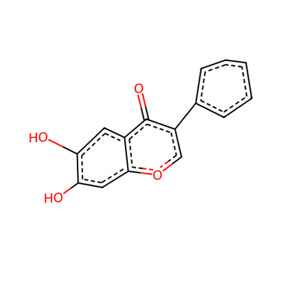 O=c1c(-c2ccccc2)coc2cc(O)c(O)cc12